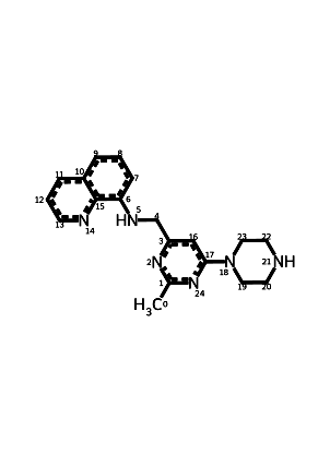 Cc1nc(CNc2cccc3cccnc23)cc(N2CCNCC2)n1